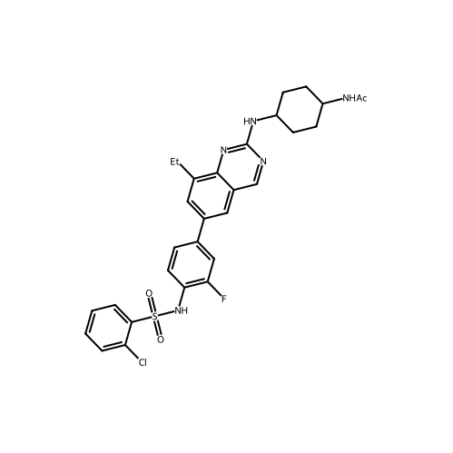 CCc1cc(-c2ccc(NS(=O)(=O)c3ccccc3Cl)c(F)c2)cc2cnc(NC3CCC(NC(C)=O)CC3)nc12